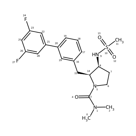 CN(C)C(=O)N1CC[C@H](NS(C)(=O)=O)[C@@H]1Cc1cccc(-c2cc(F)cc(F)c2)c1